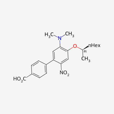 CCCCCC[C@@H](C)Oc1cc([N+](=O)[O-])c(-c2ccc(C(=O)O)cc2)cc1N(C)C